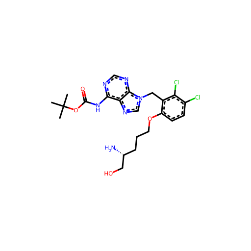 CC(C)(C)OC(=O)Nc1ncnc2c1ncn2Cc1c(OCCC[C@@H](N)CO)ccc(Cl)c1Cl